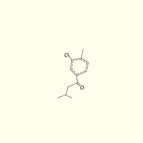 Cc1ccc(C(=O)CC(C)C)cc1Cl